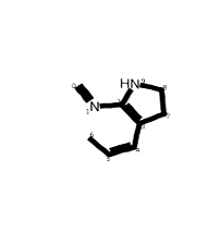 C=NC1=C(/C=C\C)CCN1